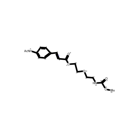 CC(=O)Nc1ccc(/C=C/C(=O)OCCOCCNC(=O)OC(C)(C)C)cc1